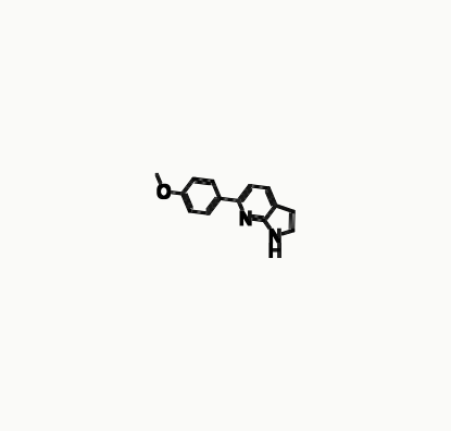 COc1ccc(-c2ccc3cc[nH]c3n2)cc1